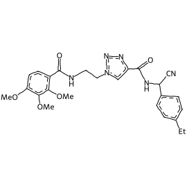 CCc1ccc(C(C#N)NC(=O)c2cn(CCNC(=O)c3ccc(OC)c(OC)c3OC)nn2)cc1